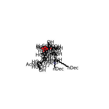 CCCCCCCCCCCCC/C=C/[C@@H](O)[C@H](CO[C@@H]1OC(CO)[C@@H](O[C@@H]2OC(CO)[C@H](O)[C@H](O[C@@H]3OC(CO)[C@@H](O[C@@H]4OC(CO)[C@H](O)[C@H](O[C@@H]5OC(CO)[C@@H](O[C@@H]6OC(CO[C@]7(C(=O)O)CC(O)[C@@H](NC(C)=O)C([C@H](O)[C@H](O)CO)O7)[C@H](O)[C@H](O)C6O)[C@H](O)C5NC(C)=O)C4O)[C@H](O[C@H]4OC(C)[C@@H](O)C(O)[C@@H]4O)C3NC(C)=O)C2O)[C@H](O)C1O)NC(=O)CCCCCCCCCCCCCCCCCCC